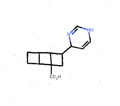 O=C(O)C12C3C4C5C3C1C5(C1C=CNC=N1)C42